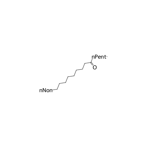 CCCC[CH]C(=O)CCCCCCCCCCCCCCCCC